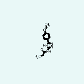 CCOc1ccc(-c2nnc(NC(=O)CC)[nH]2)cc1